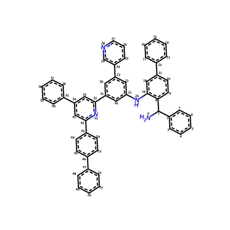 NC(c1ccccc1)c1ccc(-c2ccccc2)cc1Nc1cc(-c2cccnc2)cc(-c2cc(-c3ccccc3)cc(-c3ccc(-c4ccccc4)cc3)n2)c1